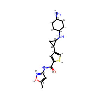 Cc1cc(NC(=O)c2cc(C3CC3NC3CCC(N)CC3)cs2)no1